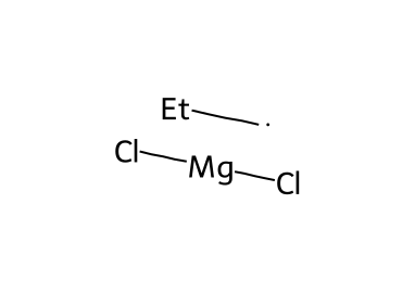 [CH2]C[CH2].[Cl][Mg][Cl]